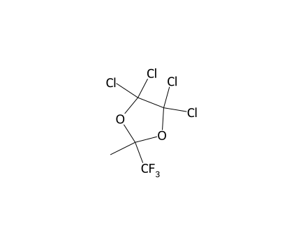 CC1(C(F)(F)F)OC(Cl)(Cl)C(Cl)(Cl)O1